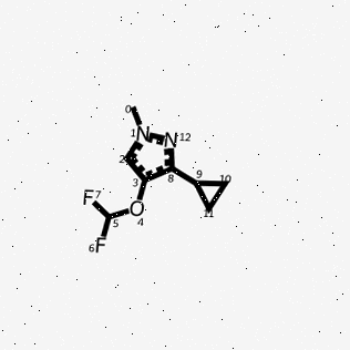 Cn1cc(OC(F)F)c(C2CC2)n1